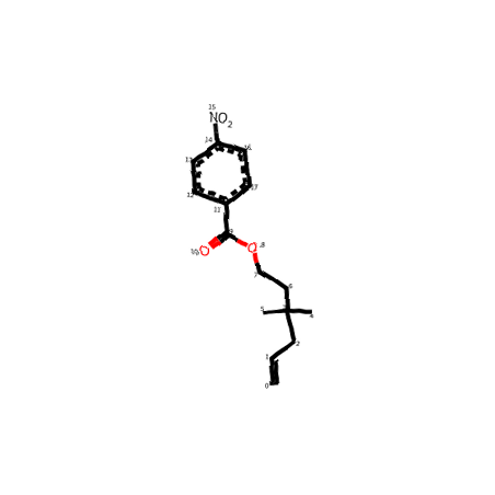 C=CCC(C)(C)CCOC(=O)c1ccc([N+](=O)[O-])cc1